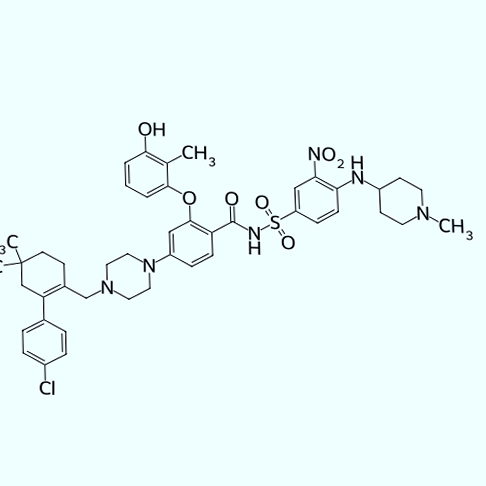 Cc1c(O)cccc1Oc1cc(N2CCN(CC3=C(c4ccc(Cl)cc4)CC(C)(C)CC3)CC2)ccc1C(=O)NS(=O)(=O)c1ccc(NC2CCN(C)CC2)c([N+](=O)[O-])c1